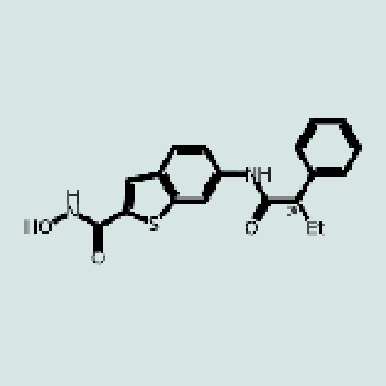 CC[C@@H](C(=O)Nc1ccc2cc(C(=O)NO)sc2c1)c1ccccc1